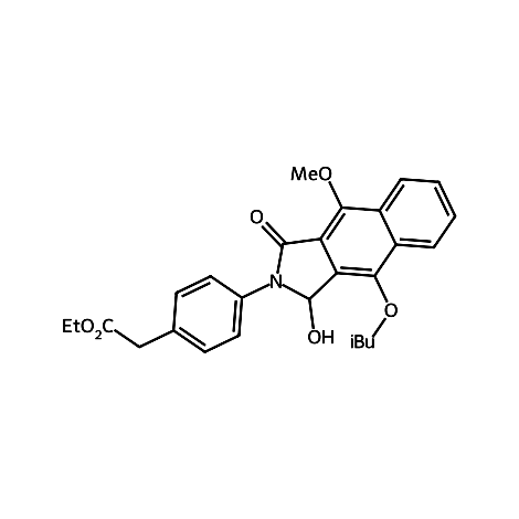 CCOC(=O)Cc1ccc(N2C(=O)c3c(c(OC(C)CC)c4ccccc4c3OC)C2O)cc1